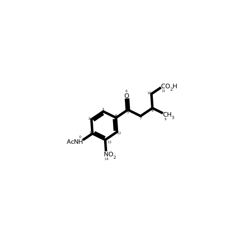 CC(=O)Nc1ccc(C(=O)CC(C)CC(=O)O)cc1[N+](=O)[O-]